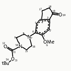 COc1cc2c(cc1N1CCN(C(=O)OC(C)(C)C)CC1)CCC2=O